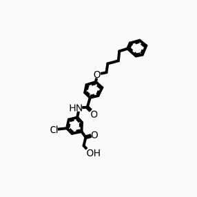 O=C(CO)c1cc(Cl)cc(NC(=O)c2ccc(OCCCCc3ccccc3)cc2)c1